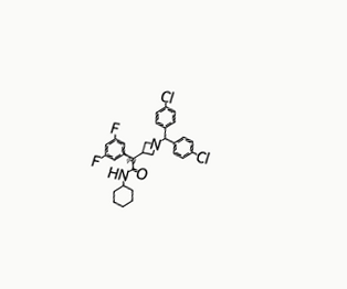 O=C(NC1CCCCC1)[C@@H](c1cc(F)cc(F)c1)C1CN(C(c2ccc(Cl)cc2)c2ccc(Cl)cc2)C1